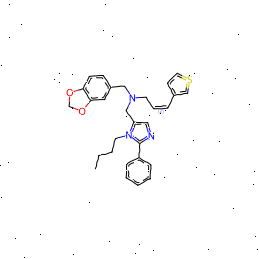 CCCCn1c(CN(C/C=C\c2ccsc2)Cc2ccc3c(c2)OCO3)cnc1-c1ccccc1